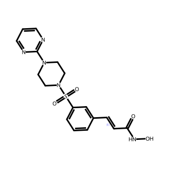 O=C(/C=C/c1cccc(S(=O)(=O)N2CCN(c3ncccn3)CC2)c1)NO